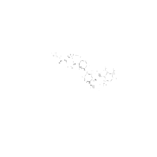 COc1ccc(-c2cnc(N)c(O[C@H](C)c3c(Cl)ccc(F)c3Cl)c2)nc1N1CCN(C(=O)OC(C)(C)C)CC1